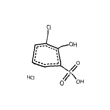 Cl.O=S(=O)(O)c1cccc(Cl)c1O